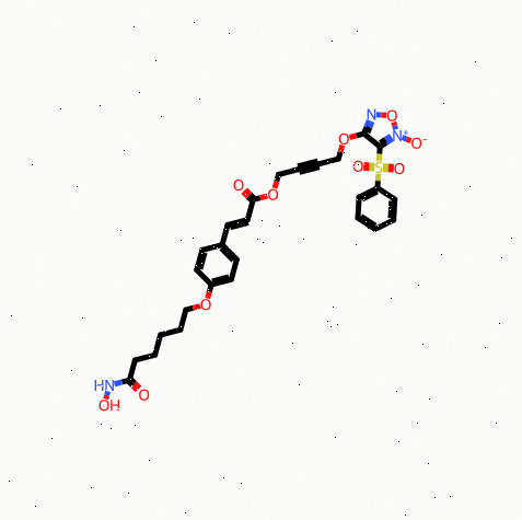 O=C(CCCCCOc1ccc(C=CC(=O)OCC#CCOc2no[n+]([O-])c2S(=O)(=O)c2ccccc2)cc1)NO